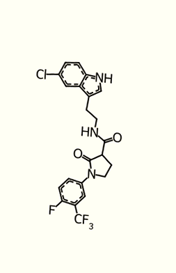 O=C(NCCc1c[nH]c2ccc(Cl)cc12)C1CCN(c2ccc(F)c(C(F)(F)F)c2)C1=O